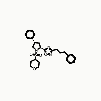 O=S(=O)(C1CCOCC1)N1C[C@H](c2ccccc2)C[C@H]1c1nc(CCCc2ccccc2)no1